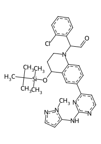 Cn1nccc1Nc1nccc(-c2ccc3c(c2)C(O[Si](C)(C)C(C)(C)C)CCN3C(C=O)c2ccccc2Cl)n1